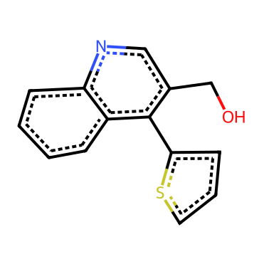 OCc1cnc2ccccc2c1-c1cccs1